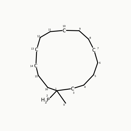 CC1(P)CCCCCCCCCCCCCC1